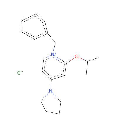 CC(C)Oc1cc(N2CCCC2)cc[n+]1Cc1ccccc1.[Cl-]